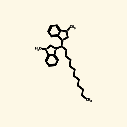 CCCCCCCCCCCC(N1CN(C)c2ccccc21)N1CN(C)c2ccccc21